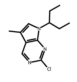 CCC(CC)n1cc(C)c2cnc(Cl)nc21